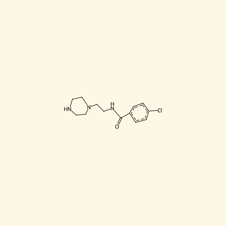 O=C(NCCN1CCNCC1)c1ccc(Cl)cc1